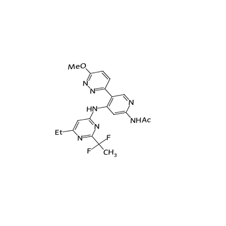 CCc1cc(Nc2cc(NC(C)=O)ncc2-c2ccc(OC)nn2)nc(C(C)(F)F)n1